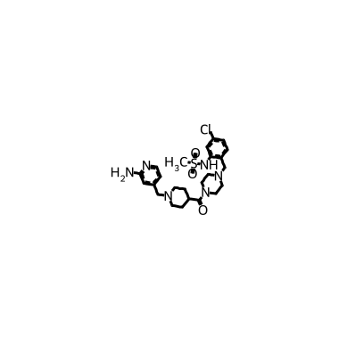 CS(=O)(=O)Nc1cc(Cl)ccc1CN1CCN(C(=O)C2CCN(Cc3ccnc(N)c3)CC2)CC1